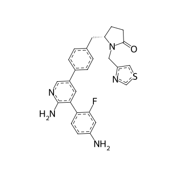 Nc1ccc(-c2cc(-c3ccc(C[C@@H]4CCC(=O)N4Cc4cscn4)cc3)cnc2N)c(F)c1